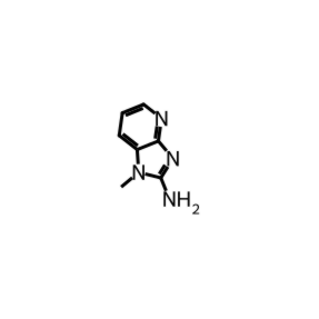 Cn1c(N)nc2ncccc21